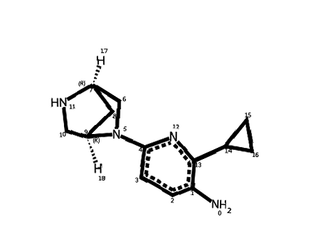 Nc1ccc(N2C[C@H]3C[C@@H]2CN3)nc1C1CC1